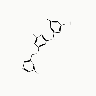 Cc1cc(O)cc(Oc2cc(C)cc(OCc3cccc(F)c3)c2)c1